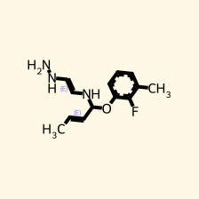 C/C=C/C(N/C=C/NN)Oc1cccc(C)c1F